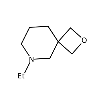 CCN1CCCC2(COC2)C1